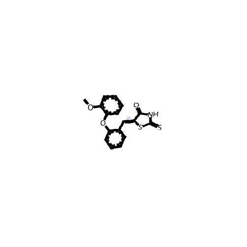 COc1ccccc1Oc1ccccc1/C=C1\SC(=S)NC1=O